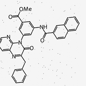 COC(=O)c1cc(NC(=O)c2ccc3ccccc3c2)cc(-n2c(=O)c(Cc3ccccc3)nc3cccnc32)c1